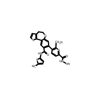 CCCNC(=O)c1ccc(-c2cc3c(cc2C(=O)Nc2ccc(C#N)s2)-c2sccc2CCO3)c(C(=O)O)n1